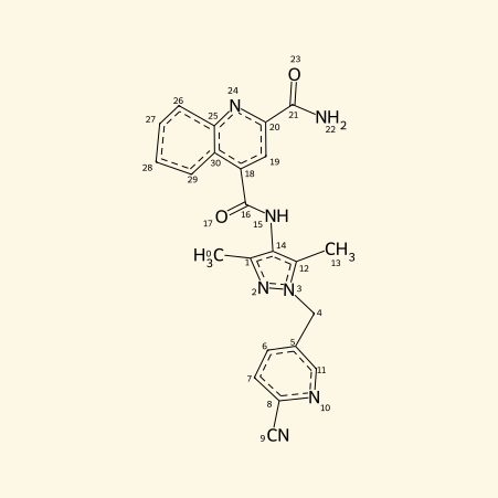 Cc1nn(Cc2ccc(C#N)nc2)c(C)c1NC(=O)c1cc(C(N)=O)nc2ccccc12